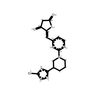 CCc1noc(C2CCCN(c3nccc(/C=C4\SC(=O)CC4=O)n3)C2)n1